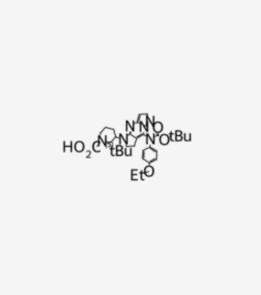 CCOc1ccc(N(C(=O)OC(C)(C)C)c2c3c(nc4ccnn24)N(C2CCCN(C(=O)O)[C@H]2C(C)(C)C)CC3)cc1